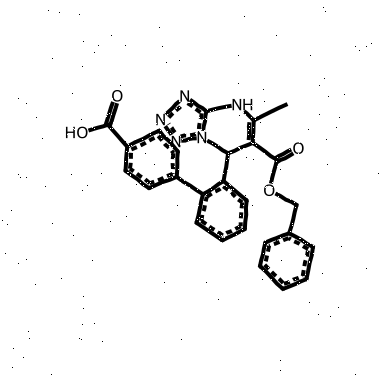 CC1=C(C(=O)OCc2ccccc2)C(c2ccccc2-c2ccc(C(=O)O)cc2)n2nnnc2N1